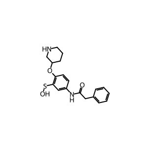 O=C(Cc1ccccc1)Nc1ccc(OC2CCCNC2)c(SO)c1